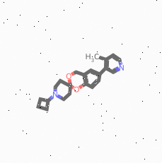 Cc1ccncc1-c1ccc2c(c1)COC1(CCN(C3CCC3)CC1)O2